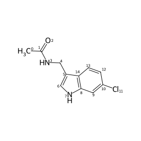 CC(=O)NCc1c[nH]c2cc(Cl)ccc12